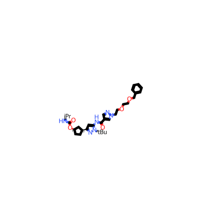 CC(C)NC(=O)O[C@@H]1CC[C@H](c2cc(NC(=O)c3cnn(CCOCCOCc4ccccc4)c3)n(C(C)(C)C)n2)C1